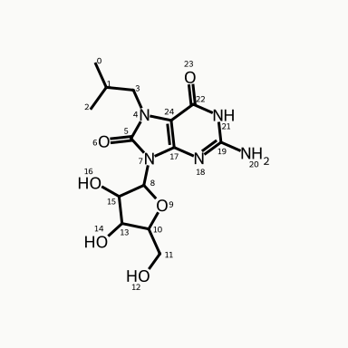 CC(C)Cn1c(=O)n(C2OC(CO)C(O)C2O)c2nc(N)[nH]c(=O)c21